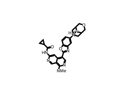 CNc1ncc(-c2nc3cc(N4CC5COCC(C4)N5C)ccc3o2)c2cc(NC(=O)C3CC3)ncc12